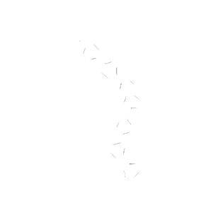 FC(F)(F)c1ccc(-c2ccc(-c3ccc4ccc(-c5ccc(-c6ccc7oc8ncccc8c7c6)cc5)cc4c3)cc2)cc1